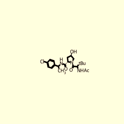 CC(=O)NC(C(=O)N1C[C@H](O)C[C@H]1C(=O)NC(C)c1ccc(Cl)cc1)C(C)(C)C